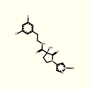 CC(C)n1cc(N2CC[C@](O)(C(=O)NCCc3cc(F)cc(Cl)c3)C2=O)cn1